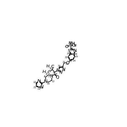 CC(C)C(C(=O)N1CCN(c2ncccn2)CC1)n1cc(COc2ccc3nc(S(N)(=O)=O)sc3c2)nn1